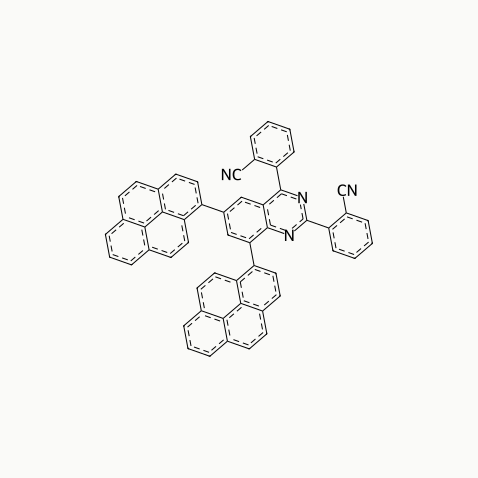 N#Cc1ccccc1-c1nc(-c2ccccc2C#N)c2cc(-c3ccc4ccc5cccc6ccc3c4c56)cc(-c3ccc4ccc5cccc6ccc3c4c56)c2n1